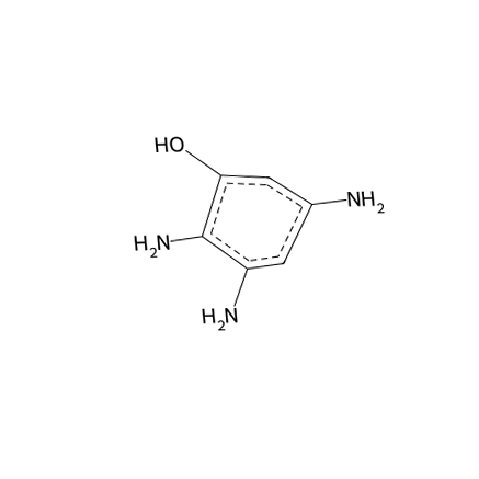 Nc1cc(N)c(N)c(O)c1